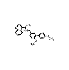 COc1ccc(-c2cc(CNC(C)c3ccnc4ccccc34)ccc2OC)cc1